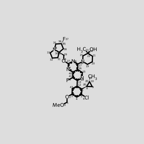 COCOc1cc(Cl)c([C@@H]2C[C@H]2C)c(-c2ncc3c(N4CCC[C@@](C)(O)C4)nc(OC[C@@]45CCCN4C[C@H](F)C5)nc3c2F)c1